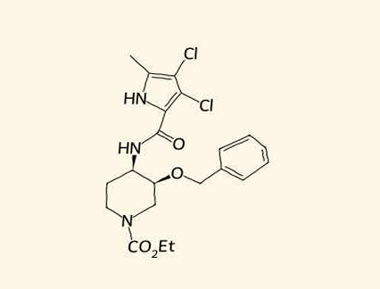 CCOC(=O)N1CC[C@@H](NC(=O)c2[nH]c(C)c(Cl)c2Cl)[C@@H](OCc2ccccc2)C1